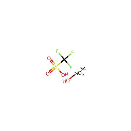 O=S(=O)(O)C(F)(F)F.O=[N+]([O-])O.[Sc]